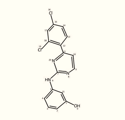 Oc1cccc(Nc2nccc(-c3ccc(Cl)cc3Cl)n2)c1